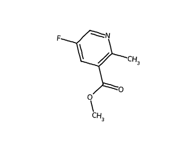 COC(=O)c1cc(F)cnc1C